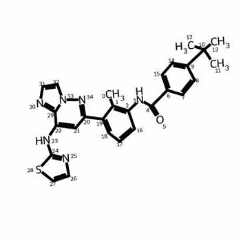 Cc1c(NC(=O)c2ccc(C(C)(C)C)cc2)cccc1-c1cc(Nc2nccs2)c2nccn2n1